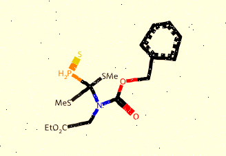 CCOC(=O)CN(C(=O)OCc1ccccc1)C([PH2]=S)(SC)SC